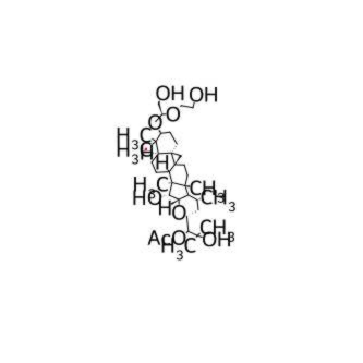 CC(=O)O[C@@H]([C@H]1C[C@@H](C)C2[C@H](O1)[C@H](O)[C@@]1(C)[C@@H]3CC[C@H]4C(C)(C)[C@@H](O[C@@H](CO)OCCO)CC[C@@]45C[C@@]35CC[C@]21C)C(C)(C)O